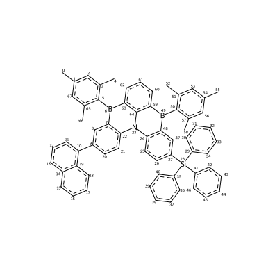 Cc1cc(C)c(B2c3cc(-c4cccc5ccccc45)ccc3N3c4ccc([Si](c5ccccc5)(c5ccccc5)c5ccccc5)cc4B(c4c(C)cc(C)cc4C)c4cccc2c43)c(C)c1